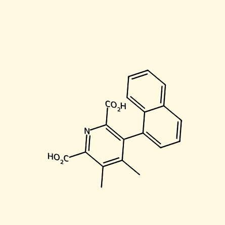 Cc1c(C(=O)O)nc(C(=O)O)c(-c2cccc3ccccc23)c1C